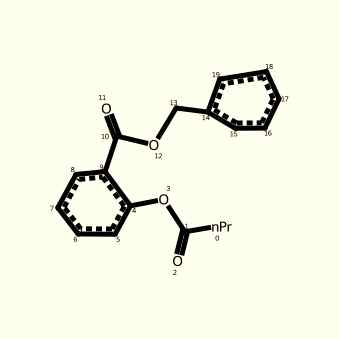 CCCC(=O)Oc1ccccc1C(=O)OCc1ccccc1